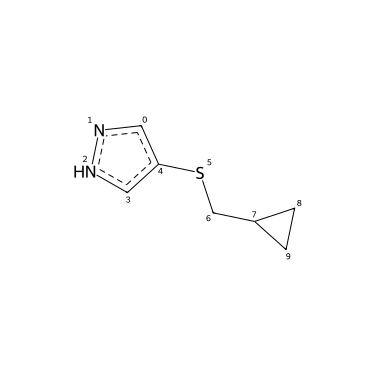 c1n[nH]cc1SCC1CC1